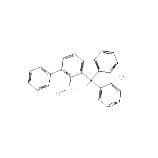 CCCCOc1c(-c2ccccc2)cccc1C(O)(c1ccccc1)c1ccccc1OC